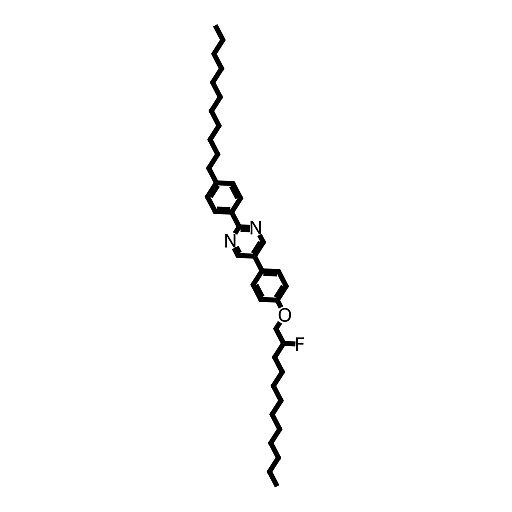 CCCCCCCCCCCc1ccc(-c2ncc(-c3ccc(OCC(F)CCCCCCCCCC)cc3)cn2)cc1